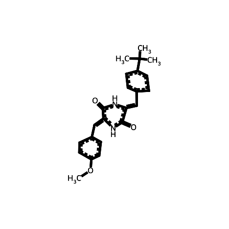 COc1ccc(C=c2[nH]c(=O)c(=Cc3ccc(C(C)(C)C)cc3)[nH]c2=O)cc1